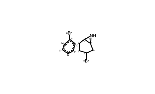 BrC1CCC2NC2C1.Brc1ccccc1